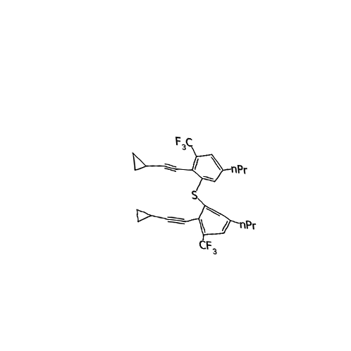 CCCc1cc(Sc2cc(CCC)cc(C(F)(F)F)c2C#CC2CC2)c(C#CC2CC2)c(C(F)(F)F)c1